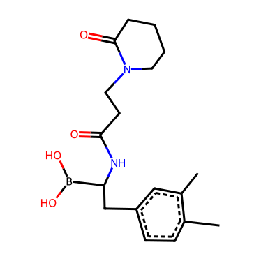 Cc1ccc(CC(NC(=O)CCN2CCCCC2=O)B(O)O)cc1C